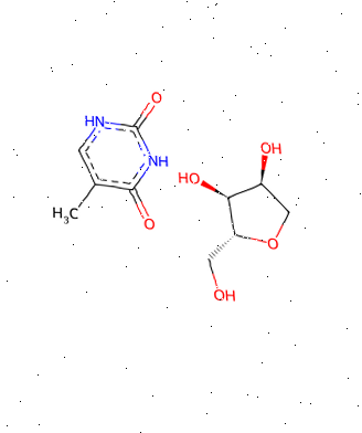 Cc1c[nH]c(=O)[nH]c1=O.OC[C@H]1OC[C@H](O)[C@@H]1O